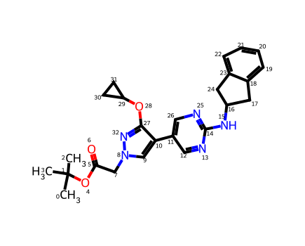 CC(C)(C)OC(=O)Cn1cc(-c2cnc(NC3Cc4ccccc4C3)nc2)c(OC2CC2)n1